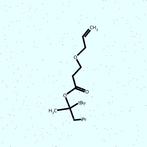 C=CCOCCC(=O)OC(C)(CC(C)C)C(C)(C)C